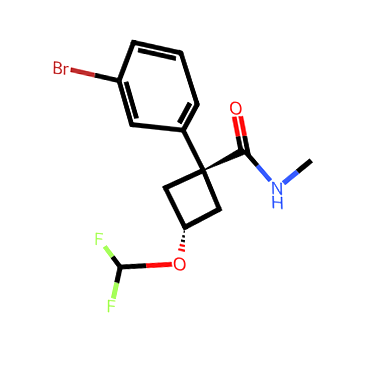 CNC(=O)[C@]1(c2cccc(Br)c2)C[C@@H](OC(F)F)C1